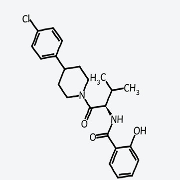 CC(C)[C@@H](NC(=O)c1ccccc1O)C(=O)N1CCC(c2ccc(Cl)cc2)CC1